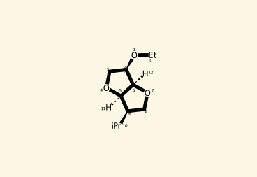 CCO[C@@H]1CO[C@H]2[C@@H]1OC[C@H]2C(C)C